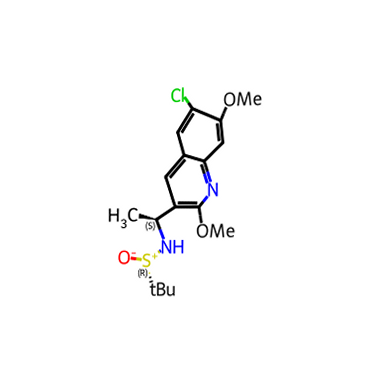 COc1cc2nc(OC)c([C@H](C)N[S@@+]([O-])C(C)(C)C)cc2cc1Cl